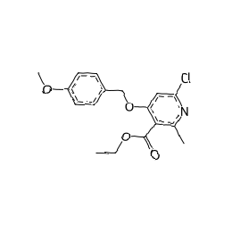 CCOC(=O)c1c(OCc2ccc(OC)cc2)cc(Cl)nc1C